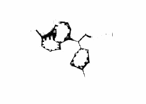 CCOC(=O)CC(c1ccc(C(F)(F)F)cc1)c1c[nH]c2c(CC)cccc12